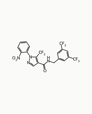 O=C(NCc1cc(C(F)(F)F)cc(C(F)(F)F)c1)c1cnn(-c2ccccc2[N+](=O)[O-])c1C(F)(F)F